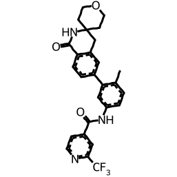 Cc1ccc(NC(=O)c2ccnc(C(F)(F)F)c2)cc1-c1ccc2c(c1)CC1(CCOCC1)NC2=O